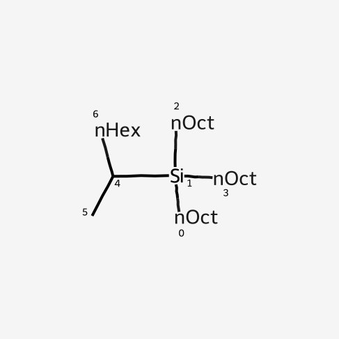 CCCCCCCC[Si](CCCCCCCC)(CCCCCCCC)C(C)CCCCCC